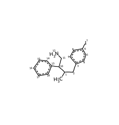 CC(Cc1ccc(I)cc1)C(CN)c1ccccc1